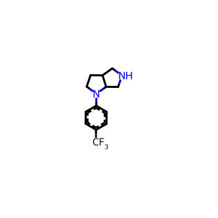 FC(F)(F)c1ccc(N2CCC3CNCC32)cc1